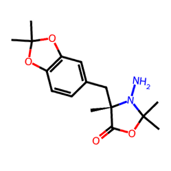 CC1(C)Oc2ccc(C[C@@]3(C)C(=O)OC(C)(C)N3N)cc2O1